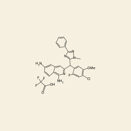 COc1cc(C(c2cc3cc(N)ccc3c(N)n2)c2nc(-c3ccccc3)nn2C)c(F)cc1Cl.O=C(O)C(F)(F)F